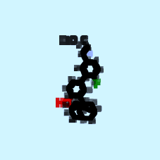 CCOC(=O)/C=C/c1ccc(F)c(-c2ccc(O)c(C34CC5CC(CC(C5)C3)C4)c2)c1